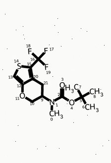 CN(C(=O)OC(C)(C)C)C1COc2csc(C(F)(F)F)c2C1